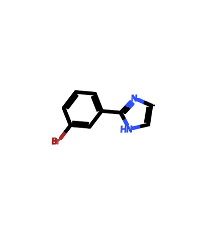 Brc1cccc(-c2n[c]c[nH]2)c1